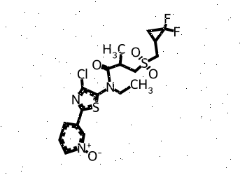 CCN(C(=O)C(C)CS(=O)(=O)CC1CC1(F)F)c1sc(-c2ccc[n+]([O-])c2)nc1Cl